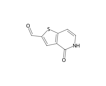 O=Cc1cc2c(=O)[nH]ccc2s1